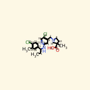 CCC(Nc1cc(CN2CCC(C)(C(=O)O)C2)c(Cl)cn1)c1ccc(Cl)c(C)c1